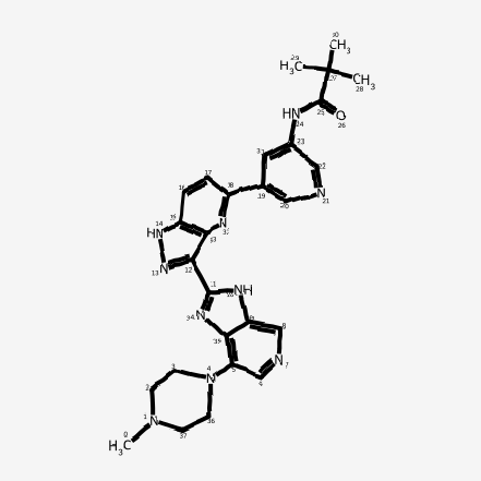 CN1CCN(c2cncc3[nH]c(-c4n[nH]c5ccc(-c6cncc(NC(=O)C(C)(C)C)c6)nc45)nc23)CC1